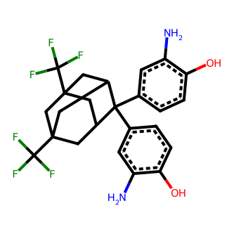 Nc1cc(C2(c3ccc(O)c(N)c3)C3CC4(C(F)(F)F)CC2CC(C(F)(F)F)(C3)C4)ccc1O